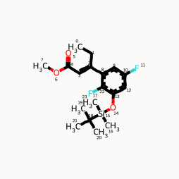 CCC(=CC(=O)OC)c1cc(F)cc(O[Si](C)(C)C(C)(C)C)c1F